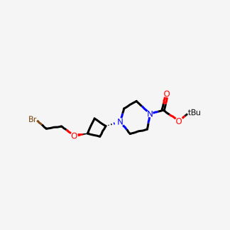 CC(C)(C)OC(=O)N1CCN([C@H]2C[C@H](OCCBr)C2)CC1